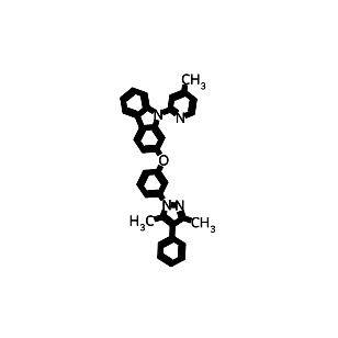 Cc1ccnc(-n2c3ccccc3c3ccc(Oc4cccc(-n5nc(C)c(-c6ccccc6)c5C)c4)cc32)c1